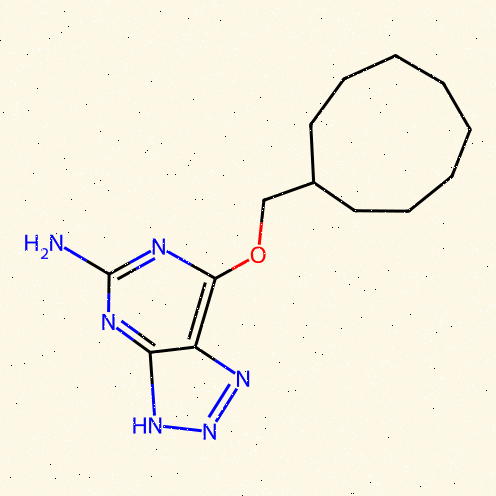 Nc1nc(OCC2CCCCCCCC2)c2nn[nH]c2n1